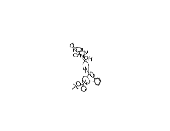 COc1ccc2ncn(CC3(O)CCN(C(=O)[C@@H]4CCN(C(=O)OC(C)(C)C)C[C@H]4c4ccccc4)CC3)c(=O)c2n1